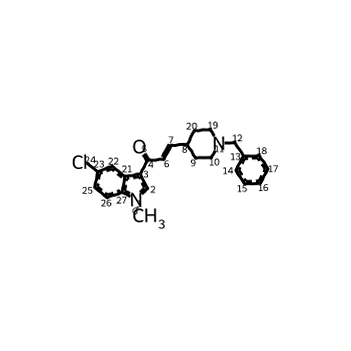 Cn1cc(C(=O)C=CC2CCN(Cc3ccccc3)CC2)c2cc(Cl)ccc21